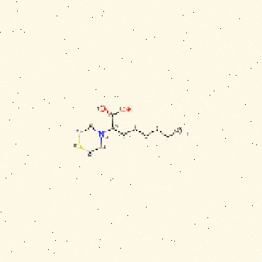 CCCCCCC(C(=O)O)N1CCSCC1